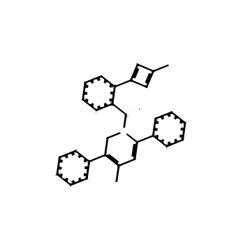 CC1=CC(c2ccccc2[C@H](N)N2CC(c3ccccc3)=C(C)C=C2c2ccccc2)=C1